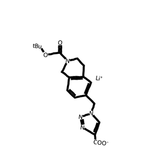 CC(C)(C)OC(=O)N1CCc2cc(Cn3cc(C(=O)[O-])nn3)ccc2C1.[Li+]